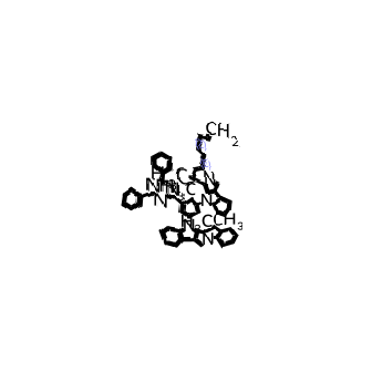 C=C/C=C\C=C1/CC(C)(C)c2c3c(cn21)c1ccccc1n3-c1cc(-c2nc(-c3ccccc3)nc(-c3ccccc3)n2)cc(-n2c3ccccc3c3cn4c(c32)C(C)(C)c2ccccc2-4)c1